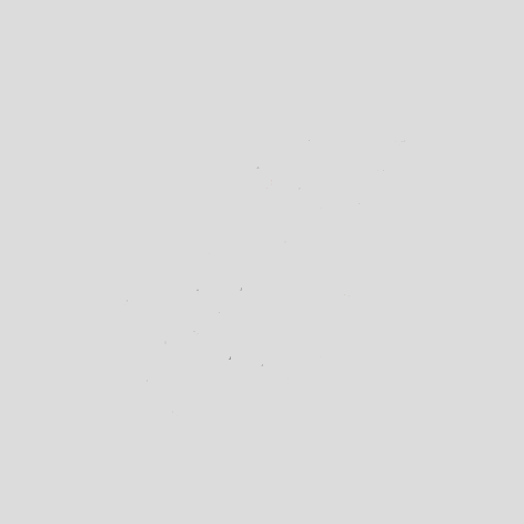 Brc1ccc2c(c1)C(c1ccccc1)(c1ccc(Oc3ccc4c(c3)CC4)cc1)c1ccccc1-2